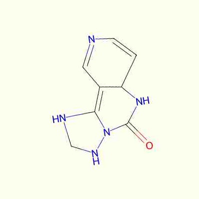 O=C1NC2C=CN=CC2=C2NCNN12